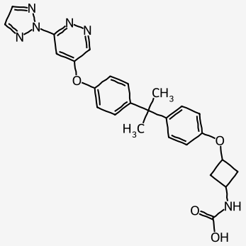 CC(C)(c1ccc(Oc2cnnc(-n3nccn3)c2)cc1)c1ccc(OC2CC(NC(=O)O)C2)cc1